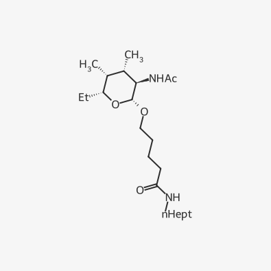 CCCCCCCNC(=O)CCCCO[C@@H]1O[C@H](CC)[C@H](C)[C@H](C)[C@H]1NC(C)=O